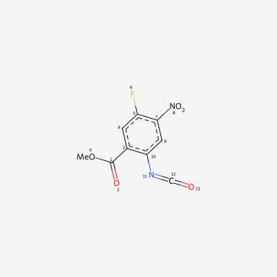 COC(=O)c1cc(F)c([N+](=O)[O-])cc1N=C=O